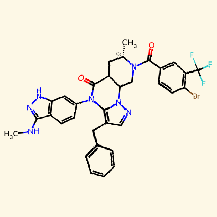 CNc1n[nH]c2cc(N3C(=O)C4C[C@H](C)N(C(=O)c5ccc(Br)c(C(F)(F)F)c5)CC4n4ncc(Cc5ccccc5)c43)ccc12